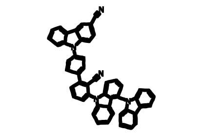 N#Cc1ccc2c(c1)c1ccccc1n2-c1ccc(-c2cccc(-n3c4ccccc4c4c(-n5c6ccccc6c6ccccc65)cccc43)c2C#N)cc1